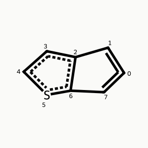 C1=Cc2ccsc2C=1